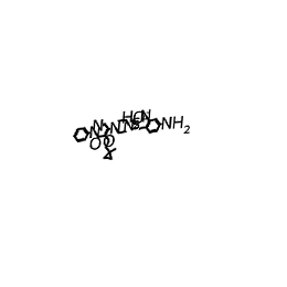 CC1(COc2c(N3CCN([S+]([O-])Cc4ccc(N)cc4N)CC3)cnn(-c3ccccc3)c2=O)CC1